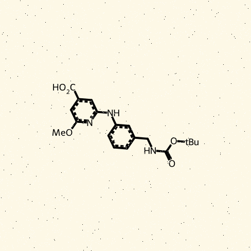 COc1cc(C(=O)O)cc(Nc2cccc(CNC(=O)OC(C)(C)C)c2)n1